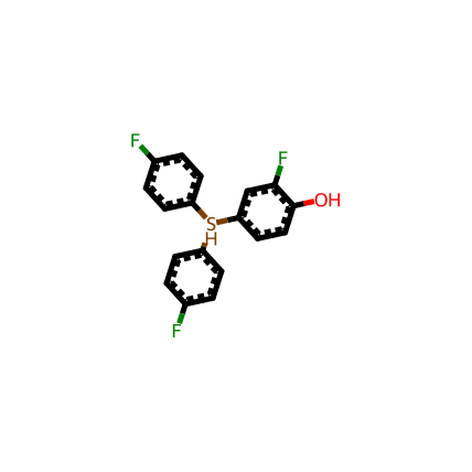 Oc1ccc([SH](c2ccc(F)cc2)c2ccc(F)cc2)cc1F